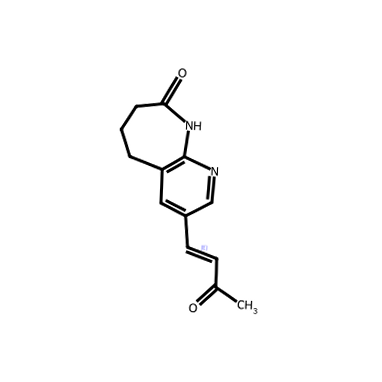 CC(=O)/C=C/c1cnc2c(c1)CCCC(=O)N2